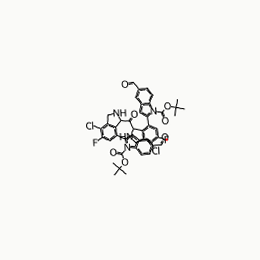 CC(C)(C)OC(=O)n1c(-c2cc(F)c(Cl)c3c2C(C(=O)C2NCc4c(Cl)c(F)cc(-c5cc6cc(C=O)ccc6n5C(=O)OC(C)(C)C)c42)NC3)cc2cc(C=O)ccc21